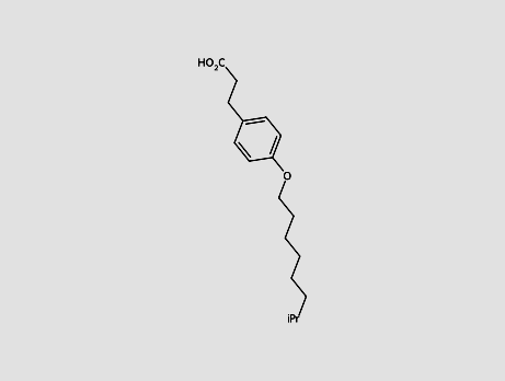 CC(C)CCCCCCOc1ccc(CCC(=O)O)cc1